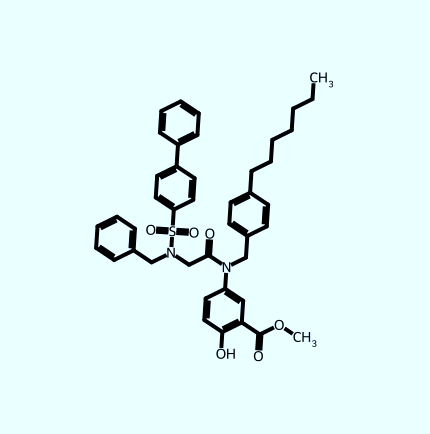 CCCCCCCc1ccc(CN(C(=O)CN(Cc2ccccc2)S(=O)(=O)c2ccc(-c3ccccc3)cc2)c2ccc(O)c(C(=O)OC)c2)cc1